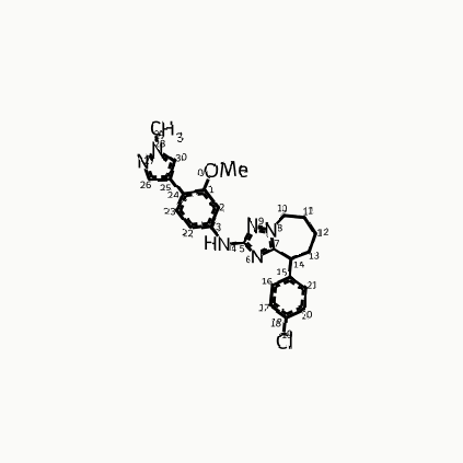 COc1cc(Nc2nc3n(n2)CCCCC3c2ccc(Cl)cc2)ccc1-c1cnn(C)c1